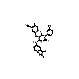 Cc1c2cc(Nc3nc(=O)n(-c4cncc(Cl)c4)c(=O)n3Cc3ccc(F)c(C#N)c3)ccc2nn1C